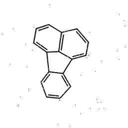 [c]1ccc2c(c1)-c1[c]ccc3cccc-2c13